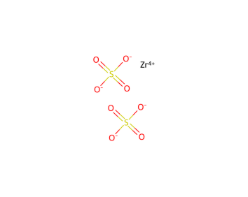 O=S(=O)([O-])[O-].O=S(=O)([O-])[O-].[Zr+4]